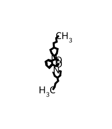 CCCCC1CCN(C(=O)c2ccccc2C(=O)N2CCC(CCCC)CC2)CC1